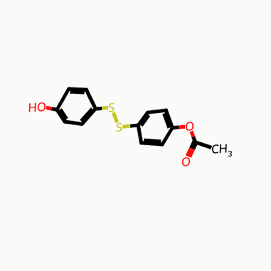 CC(=O)Oc1ccc(SSc2ccc(O)cc2)cc1